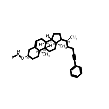 C[C@H](CCC#Cc1ccccc1)C1CC[C@H]2[C@@H]3CC=C4C[C@@H](OPI)CC[C@]4(C)[C@H]3CC[C@]12C